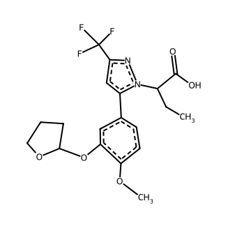 CCC(C(=O)O)n1nc(C(F)(F)F)cc1-c1ccc(OC)c(OC2CCCO2)c1